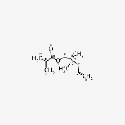 C=CC[N+](C)(C)COC(=O)C(=C)C